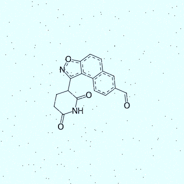 O=Cc1ccc2c(ccc3onc(C4CCC(=O)NC4=O)c32)c1